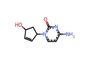 Nc1ccn(C2C=CC(O)C2)c(=O)n1